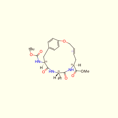 COC(=O)[C@@H]1C/C=C/COc2ccc(cc2)C[C@H](NC(=O)OC(C)(C)C)C(=O)N[C@@H](C(C)C)C(=O)N1